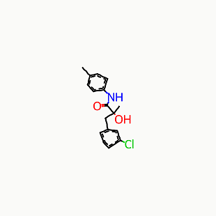 Cc1ccc(NC(=O)C(C)(O)Cc2cccc(Cl)c2)cc1